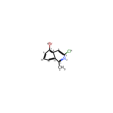 Cc1nc(Cl)cc2c(Br)cccc12